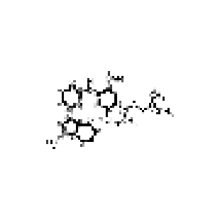 COc1cc(N(C)CCN(C)C)c(C)cc1Nc1nccc(-c2cn(C)c3ccccc23)n1